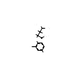 CC(C#N)C(C)(C)C(C)(Oc1ccc(Cl)cc1Cl)C(N)=O